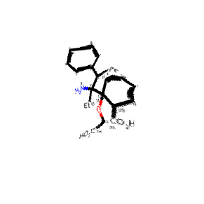 CCCC(c1ccccc1)C(N)(CC)C1(OCC(=O)O)C=CC=CC1C(=O)O